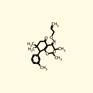 C=CCO/N=C(/CC)C1=C(OC(C)=O)C(c2cccc(C)c2)C(C)(C)CC1=O